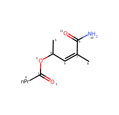 CCCC(=O)OC(C)C=C(C)C(N)=O